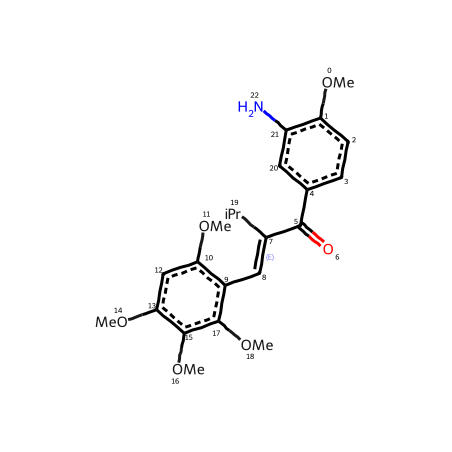 COc1ccc(C(=O)/C(=C/c2c(OC)cc(OC)c(OC)c2OC)C(C)C)cc1N